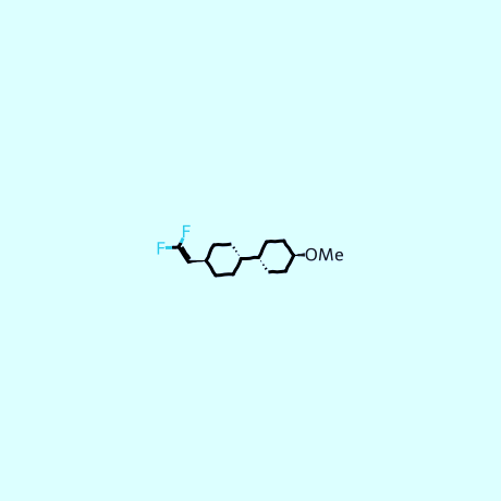 CO[C@H]1CC[C@H]([C@H]2CC[C@H](C=C(F)F)CC2)CC1